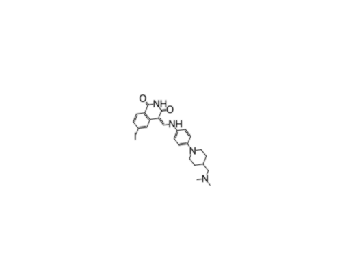 CN(C)CC1CCN(c2ccc(N/C=C3\C(=O)NC(=O)c4ccc(I)cc43)cc2)CC1